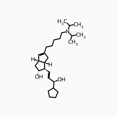 CC(C)N(CCCCCC1=C[C@H]2C[C@@H](O)[C@H](/C=C/[C@@H](O)C3CCCC3)[C@H]2C1)C(C)C